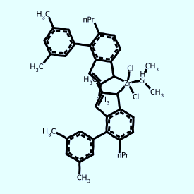 CCCc1ccc2c(c1-c1cc(C)cc(C)c1)C=C(C)[CH]2[Zr]([Cl])([Cl])([CH]1C(C)=Cc2c1ccc(CCC)c2-c1cc(C)cc(C)c1)[SiH](C)C